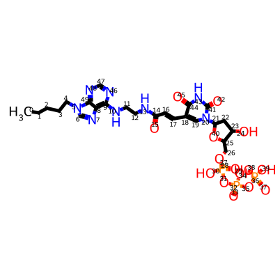 CCCCCn1cnc2c(NCCNC(=O)/C=C/c3cn(C4CC(O)C(COP(=O)(O)OP(=O)(O)OP(=O)(O)O)O4)c(=O)[nH]c3=O)ncnc21